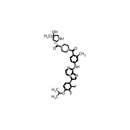 Cc1cc(Nc2nccn3c(-c4ccc(OC(C)C)c(F)c4F)cnc23)ccc1C(=O)N1CCN(C(=O)[C@@H]2C[C@](C)(O)CN2)CC1